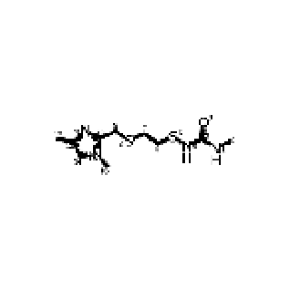 CNC(=O)NSCCSCc1nc(C)cn1C